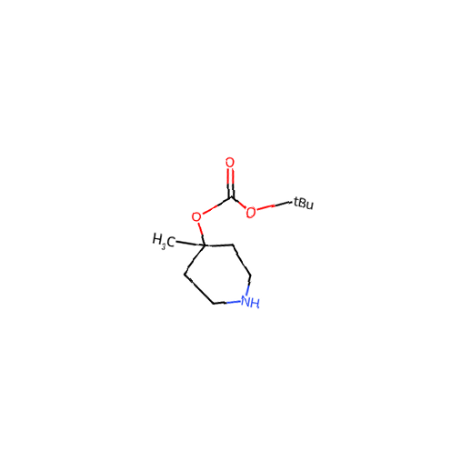 CC(C)(C)OC(=O)OC1(C)CCNCC1